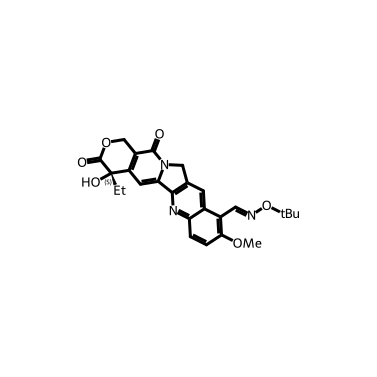 CC[C@@]1(O)C(=O)OCc2c1cc1n(c2=O)Cc2cc3c(C=NOC(C)(C)C)c(OC)ccc3nc2-1